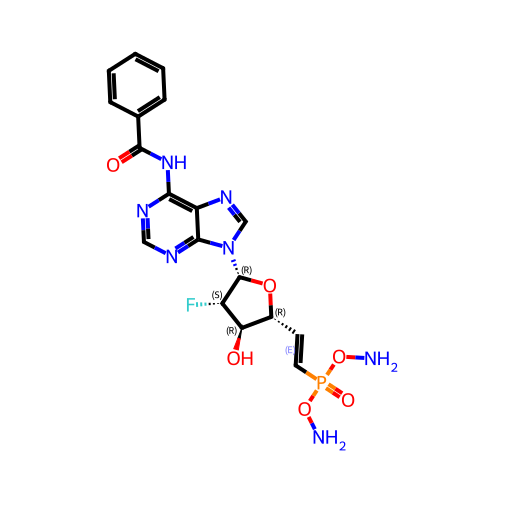 NOP(=O)(/C=C/[C@H]1O[C@@H](n2cnc3c(NC(=O)c4ccccc4)ncnc32)[C@@H](F)[C@@H]1O)ON